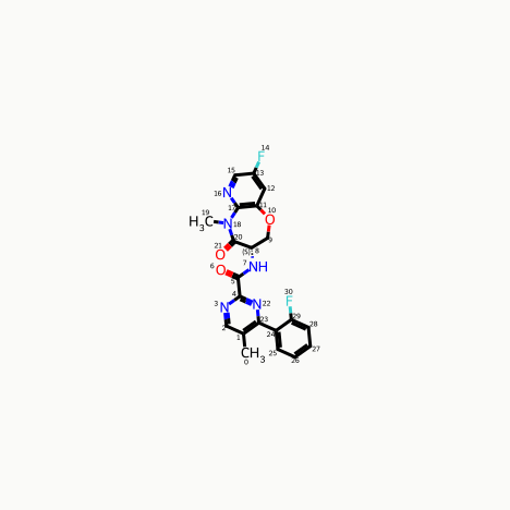 Cc1cnc(C(=O)N[C@H]2COc3cc(F)cnc3N(C)C2=O)nc1-c1ccccc1F